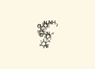 Cc1cc(Cc2ccccc2F)cc(C2CN(C(=O)c3ccc(N)nc3)CCO2)n1